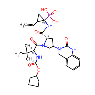 C=CC1C[C@]1(NC(=O)[C@@H]1CC(N2Cc3ccccc3NC2=O)CN1C(=O)[C@@H](NC(=O)OC1CCCC1)C(C)(C)C)P(=O)(O)O